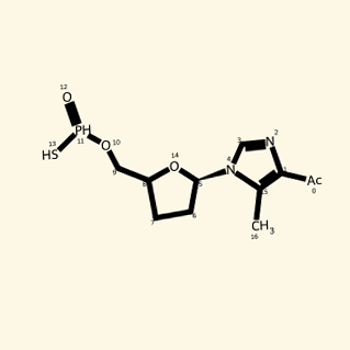 CC(=O)c1ncn([C@H]2CCC(CO[PH](=O)S)O2)c1C